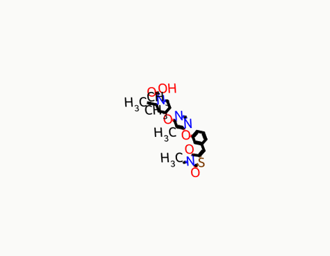 CCN1C(=O)SC(=Cc2cccc(Oc3ncnc(OC4CCN(C(=O)O)C(C(C)(C)C)C4)c3C)c2)C1=O